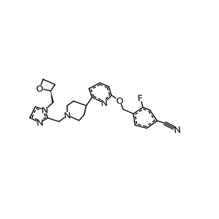 N#Cc1ccc(COc2cccc(C3CCN(Cc4nccn4C[C@@H]4CCO4)CC3)n2)c(F)c1